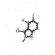 Cn1nc2ccc(I)c(F)c2c1Cl